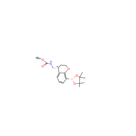 CC(C)(C)OC(=O)NC[C@@H]1CCOc2c(B3OC(C)(C)C(C)(C)O3)cccc21